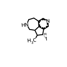 CC1C2CNCCc3cncc(c32)[C@@H]1I